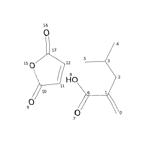 C=C(CC(C)C)C(=O)O.O=C1C=CC(=O)O1